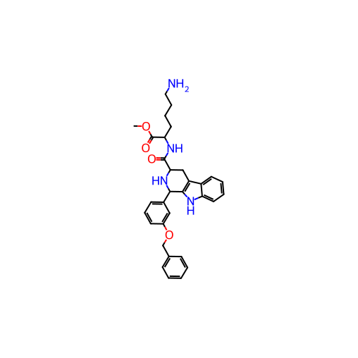 COC(=O)C(CCCCN)NC(=O)C1Cc2c([nH]c3ccccc23)C(c2cccc(OCc3ccccc3)c2)N1